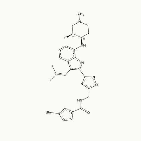 CN1CC[C@@H](Nc2cccn3c(C=C(F)F)c(-c4noc(CNC(=O)c5ccn(C(C)(C)C)c5)n4)nc23)[C@@H](F)C1